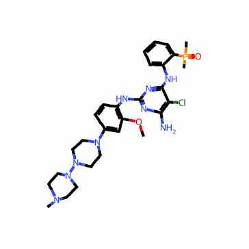 COc1cc(N2CCN(N3CCN(C)CC3)CC2)ccc1Nc1nc(N)c(Cl)c(Nc2ccccc2P(C)(C)=O)n1